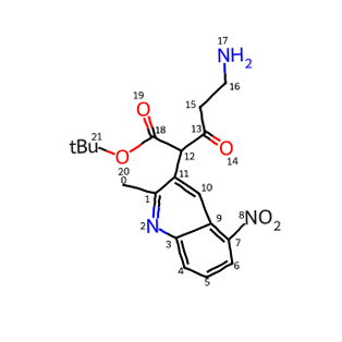 Cc1nc2cccc([N+](=O)[O-])c2cc1C(C(=O)CCN)C(=O)OC(C)(C)C